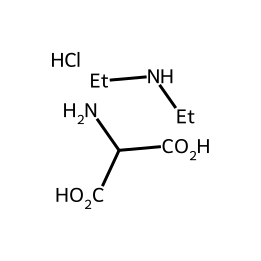 CCNCC.Cl.NC(C(=O)O)C(=O)O